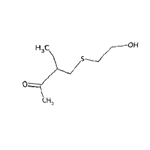 CC(=O)C(C)CSCCO